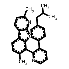 Cc1ccc2c(n1)oc1c(-c3ncccc3-c3ccc(CC(C)C)cc3)c(C)ccc12